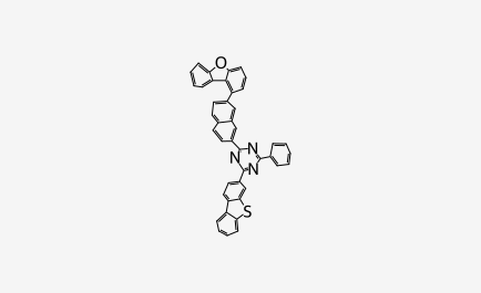 c1ccc(-c2nc(-c3ccc4ccc(-c5cccc6oc7ccccc7c56)cc4c3)nc(-c3ccc4c(c3)sc3ccccc34)n2)cc1